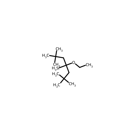 CCOC([SiH3])(CC(C)(C)C)CC(C)(C)C